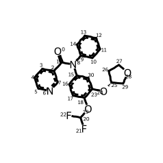 O=C(c1cccnc1)N(c1ccccc1)c1ccc(OC(F)F)c(O[C@@H]2CCOC2)c1